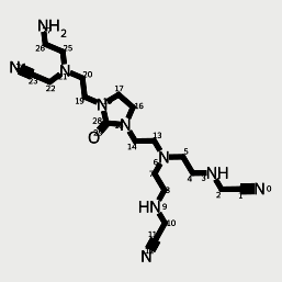 N#CCNCCN(CCNCC#N)CCN1CCN(CCN(CC#N)CCN)C1=O